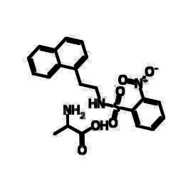 CC(N)C(=O)O.O=[N+]([O-])c1ccccc1S(=O)(=O)NCCc1cccc2ccccc12